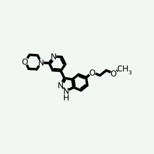 COCCOc1ccc2[nH]nc(-c3ccnc(N4CCOCC4)c3)c2c1